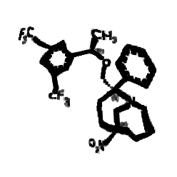 C[C@@H](OC[C@@]1(c2ccccc2)CC[C@@]2([N+](=O)[O-])CC=CN1C2)c1cc(C(F)(F)F)cc(C(F)(F)F)c1